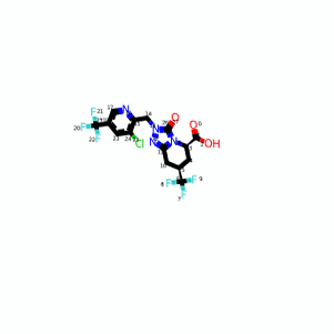 O=C(O)[C@H]1C[C@@H](C(F)(F)F)Cc2nn(Cc3ncc(C(F)(F)F)cc3Cl)c(=O)n21